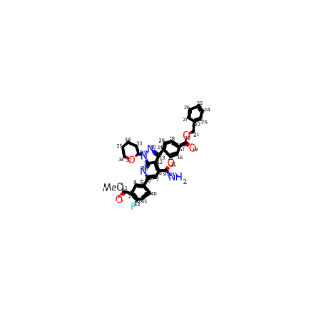 COC(=O)c1cc(-c2cc(C(N)=O)c3c(-c4ccc(C(=O)OCc5ccccc5)cc4)nn(C4CCCCO4)c3n2)ccc1F